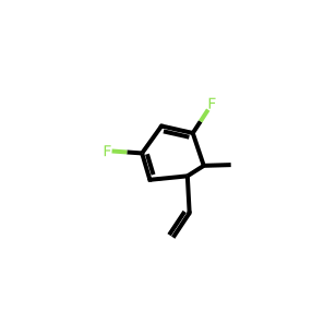 C=CC1C=C(F)C=C(F)C1C